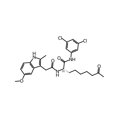 COc1ccc2[nH]c(C)c(CC(=O)N[C@@H](CCCCCC(C)=O)C(=O)Nc3cc(Cl)cc(Cl)c3)c2c1